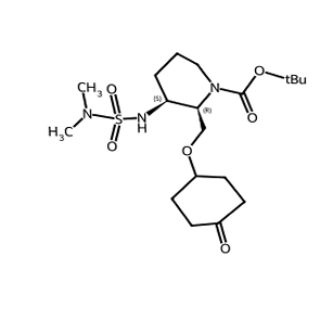 CN(C)S(=O)(=O)N[C@H]1CCCN(C(=O)OC(C)(C)C)[C@H]1COC1CCC(=O)CC1